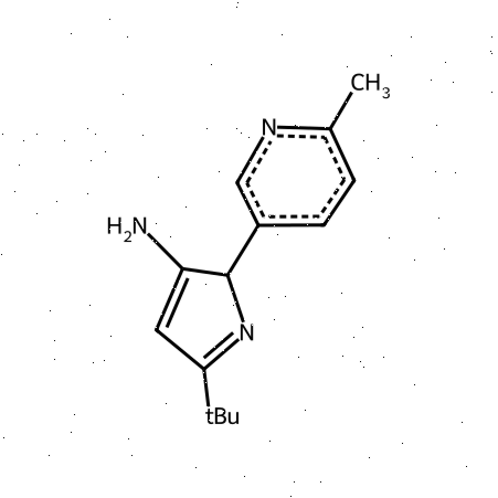 Cc1ccc(C2N=C(C(C)(C)C)C=C2N)cn1